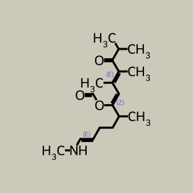 CN/C=C/CCC(C)/C(=C/C(C)=C(\C)C(=O)C(C)C)OC=O